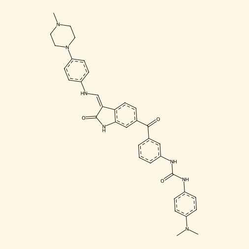 CN1CCN(c2ccc(NC=C3C(=O)Nc4cc(C(=O)c5cccc(NC(=O)Nc6ccc(N(C)C)cc6)c5)ccc43)cc2)CC1